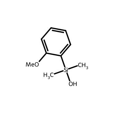 COc1ccccc1[Si](C)(C)O